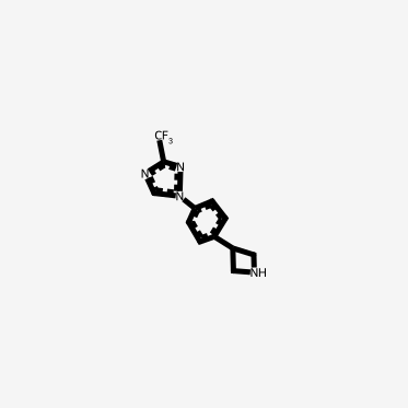 FC(F)(F)c1ncn(-c2ccc(C3CNC3)cc2)n1